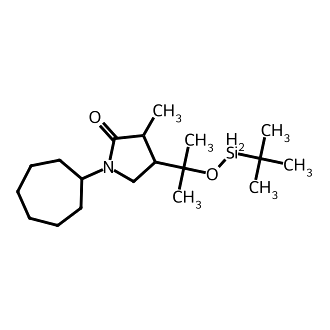 CC1C(=O)N(C2CCCCCC2)CC1C(C)(C)O[SiH2]C(C)(C)C